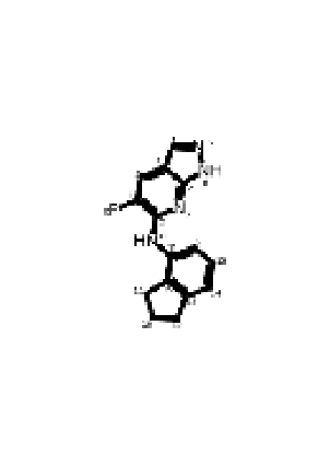 Fc1cc2cn[nH]c2nc1Nc1cccc2c1CCC2